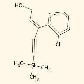 C[Si](C)(C)C#C/C(=C/CO)c1ccccc1Cl